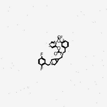 O=C(Oc1cscn1)N(Cc1cccc(OC(F)(F)F)c1)CC1C2CN(Cc3cc(F)ccc3F)CC21